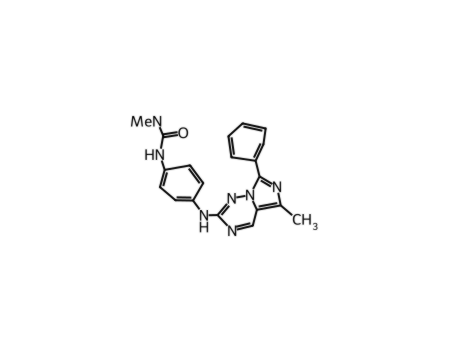 CNC(=O)Nc1ccc(Nc2ncc3c(C)nc(-c4ccccc4)n3n2)cc1